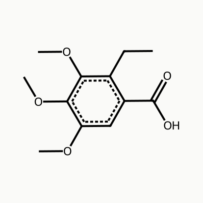 CCc1c(C(=O)O)cc(OC)c(OC)c1OC